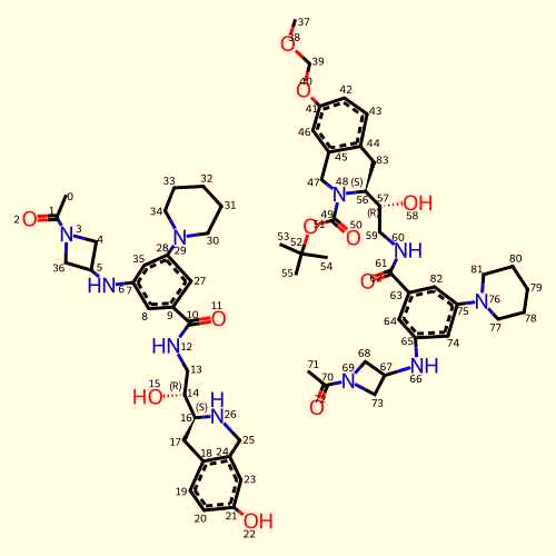 CC(=O)N1CC(Nc2cc(C(=O)NC[C@@H](O)[C@@H]3Cc4ccc(O)cc4CN3)cc(N3CCCCC3)c2)C1.COCOc1ccc2c(c1)CN(C(=O)OC(C)(C)C)[C@H]([C@H](O)CNC(=O)c1cc(NC3CN(C(C)=O)C3)cc(N3CCCCC3)c1)C2